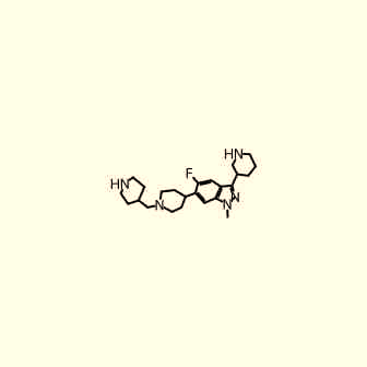 Cn1nc(C2CCCNC2)c2cc(F)c(C3CCN(CC4CCNCC4)CC3)cc21